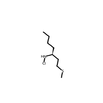 CCCC[C@@H](CCSC)NCl